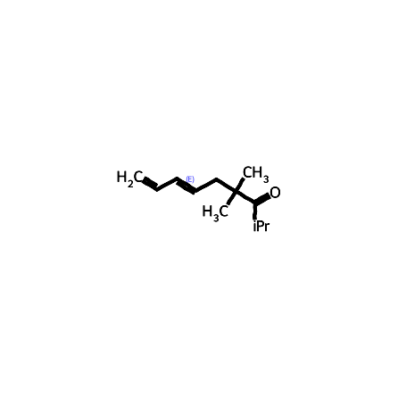 C=C/C=C/CC(C)(C)C(=O)C(C)C